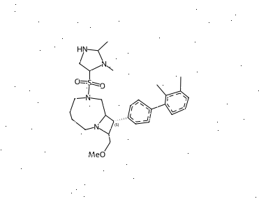 COCC1[C@@H](c2ccc(-c3cccc(C)c3C)cc2)C2CN(S(=O)(=O)C3CNC(C)N3C)CCCCN12